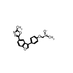 Cc1nnc(-c2ccc3occ(-c4ccc(OC[S+](C)[O-])cc4)c3c2)o1